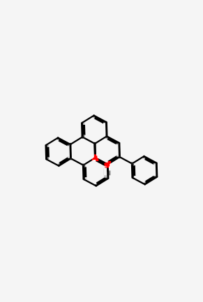 BrC1=C(c2ccccc2)C=C2C=CC=C3c4ccccc4-c4ccccc4C23C1